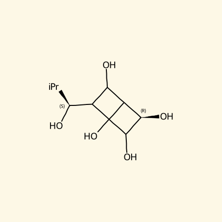 CC(C)[C@H](O)C1C(O)C2[C@@H](O)C(O)C12O